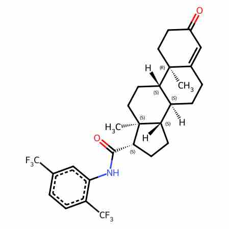 C[C@]12CC[C@H]3[C@@H](CCC4=CC(=O)CC[C@@]43C)[C@@H]1CC[C@@H]2C(=O)Nc1cc(C(F)(F)F)ccc1C(F)(F)F